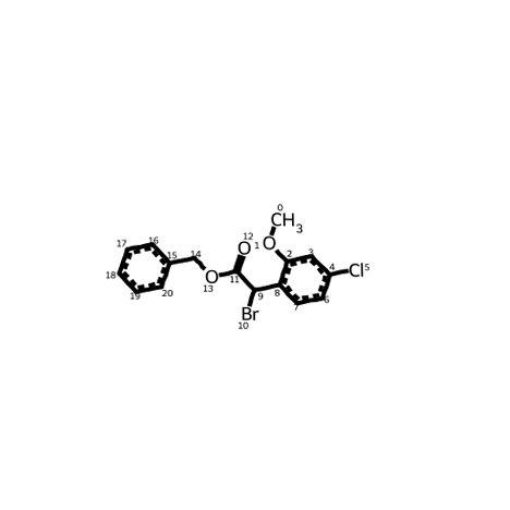 COc1cc(Cl)ccc1C(Br)C(=O)OCc1ccccc1